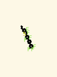 CCCc1cc(F)c2c(F)c(-c3cc(F)c(-c4ccc(-c5cc(F)c(F)c(F)c5)cc4)c(F)c3)sc2c1